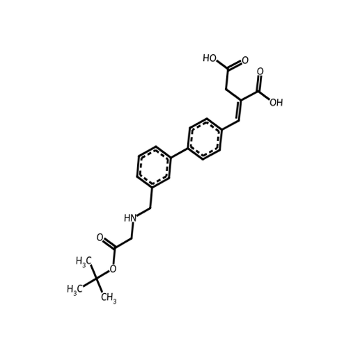 CC(C)(C)OC(=O)CNCc1cccc(-c2ccc(/C=C(\CC(=O)O)C(=O)O)cc2)c1